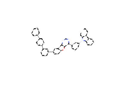 c1ccc(-c2ccc(-c3cccc(-c4ccc5oc6c(-c7cccc(-n8c9ccccc9c9ccccc98)c7)ncnc6c5c4)c3)cc2)cc1